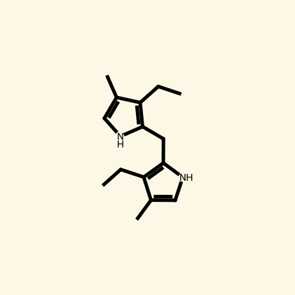 CCc1c(C)c[nH]c1Cc1[nH]cc(C)c1CC